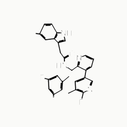 Cc1cc(-c2cccnc2[C@H](Cc2cc(F)cc(F)c2)NC(=O)Cc2c[nH]c3ccc(F)cc23)cnc1F